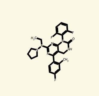 CCN(c1nc(-c2ccc(F)cc2C)c2c(n1)N(c1c(F)cccc1F)C(=O)NC2)N1CCCC1